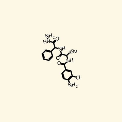 CC(C)(C)C(NC(=O)c1ccc(N)c(Cl)c1)C(=O)NC(C(=O)NN)c1ccccc1